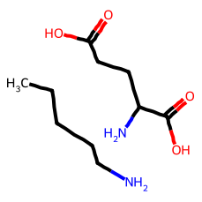 CCCCCN.NC(CCC(=O)O)C(=O)O